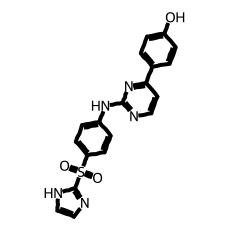 O=S(=O)(c1ccc(Nc2nccc(-c3ccc(O)cc3)n2)cc1)c1ncc[nH]1